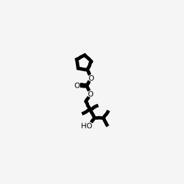 CC(C)C(O)C(C)(C)COC(=O)OC1CCCC1